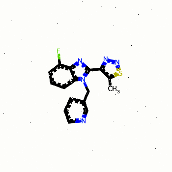 Cc1snnc1-c1nc2c(F)cccc2n1Cc1cccnc1